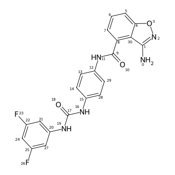 Nc1noc2cccc(C(=O)Nc3ccc(NC(=O)Nc4cc(F)cc(F)c4)cc3)c12